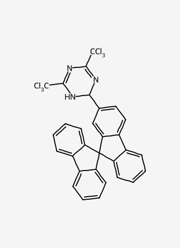 ClC(Cl)(Cl)C1=NC(c2ccc3c(c2)C2(c4ccccc4-c4ccccc42)c2ccccc2-3)NC(C(Cl)(Cl)Cl)=N1